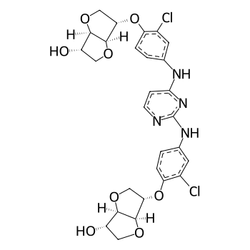 O[C@H]1CO[C@H]2[C@@H]1OC[C@@H]2Oc1ccc(Nc2ccnc(Nc3ccc(O[C@H]4CO[C@H]5[C@@H]4OC[C@@H]5O)c(Cl)c3)n2)cc1Cl